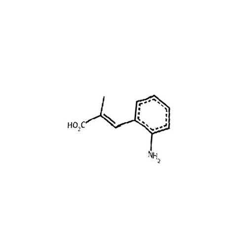 C/C(=C\c1ccccc1N)C(=O)O